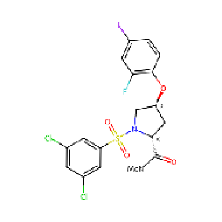 CNC(=O)[C@H]1C[C@H](Oc2ccc(I)cc2F)CN1S(=O)(=O)c1cc(Cl)cc(Cl)c1